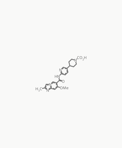 COc1cc2nc(C)cn2cc1C(=O)Nc1ccc(C2CCN(C(=O)O)CC2)cn1